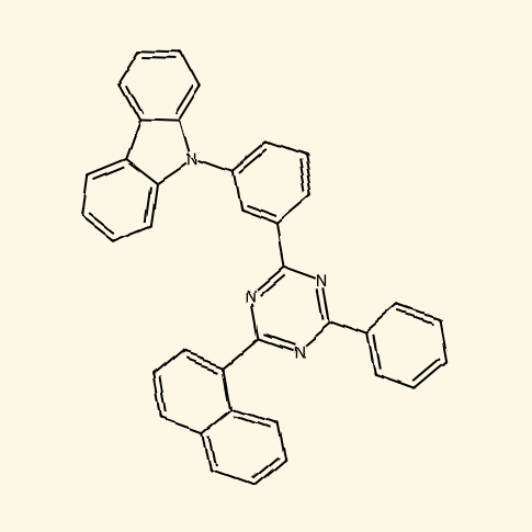 c1ccc(-c2nc(-c3cccc(-n4c5ccccc5c5ccccc54)c3)nc(-c3cccc4ccccc34)n2)cc1